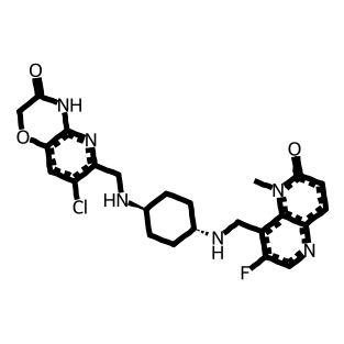 Cn1c(=O)ccc2ncc(F)c(CN[C@H]3CC[C@H](NCc4nc5c(cc4Cl)OCC(=O)N5)CC3)c21